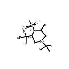 CC1CN(C(C)(C)C)CC(C(F)(F)F)N1S(C)(=O)=O